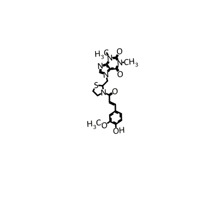 COc1cc(C=CC(=O)N2CCSC2Cn2cnc3c2c(=O)n(C)c(=O)n3C)ccc1O